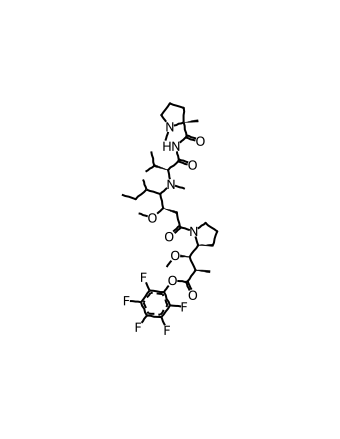 CCC(C)C([C@@H](CC(=O)N1CCC[C@H]1[C@H](OC)[C@@H](C)C(=O)Oc1c(F)c(F)c(F)c(F)c1F)OC)N(C)[C@H](C(=O)NC(=O)[C@@]1(C)CCCN1C)C(C)C